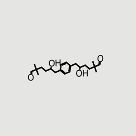 CC(C)(C=O)CCC(O)Cc1ccc(CC(O)CCC(C)(C)C=O)cc1